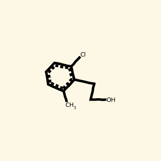 Cc1cccc(Cl)c1CCO